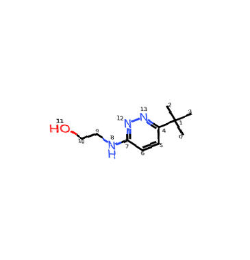 CC(C)(C)c1ccc(NCCO)nn1